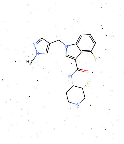 Cn1cc(Cn2cc(C(=O)N[C@H]3CCNC[C@H]3F)c3c(F)cccc32)cn1